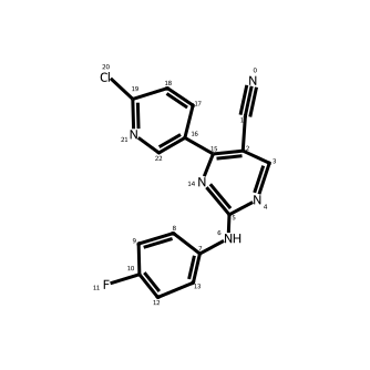 N#Cc1cnc(Nc2ccc(F)cc2)nc1-c1ccc(Cl)nc1